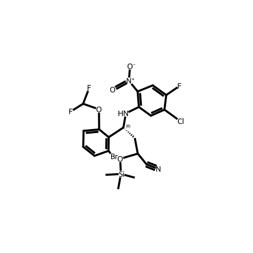 C[Si](C)(C)OC(C#N)C[C@@H](Nc1cc(Cl)c(F)cc1[N+](=O)[O-])c1c(Br)cccc1OC(F)F